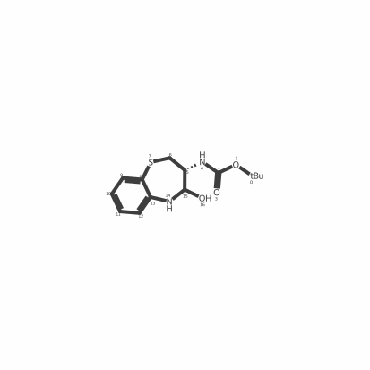 CC(C)(C)OC(=O)N[C@H]1CSc2ccccc2NC1O